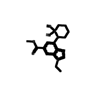 CCn1cnc2c(N3CCCCS3(O)O)cc(C(=O)OC)cc21